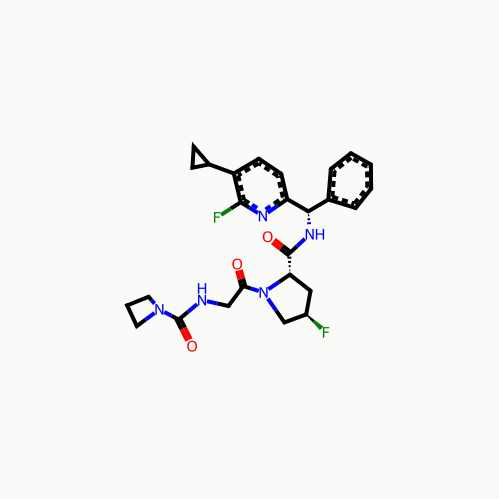 O=C(N[C@@H](c1ccccc1)c1ccc(C2CC2)c(F)n1)[C@@H]1C[C@@H](F)CN1C(=O)CNC(=O)N1CCC1